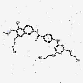 C/N=N/c1c(SOOO)cc2cc(NC(=O)c3ccc(Nc4nc(NCCO)nc(NCCO)n4)cc3)ccc2c1O